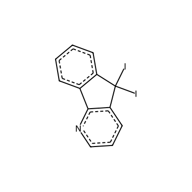 IC1(I)c2ccccc2-c2ncccc21